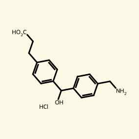 Cl.NCc1ccc(C(O)c2ccc(CCC(=O)O)cc2)cc1